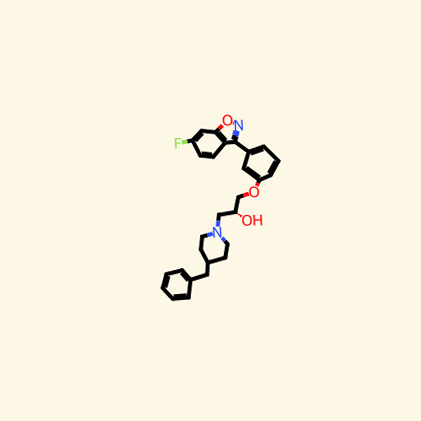 O[C@@H](COc1cccc(-c2noc3cc(F)ccc23)c1)CN1CCC(Cc2ccccc2)CC1